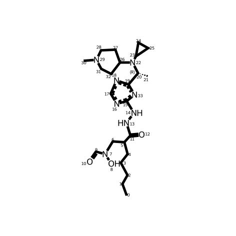 CCCCCC(CN(O)C=O)C(=O)NNc1ncnc([C@@H](C)N(C2CC2)C2CCN(C)CC2)n1